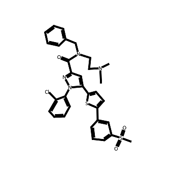 CN(C)CCN(Cc1ccccc1)C(=O)c1cc(-c2ccc(-c3cccc(S(C)(=O)=O)c3)s2)n(-c2ccccc2Cl)n1